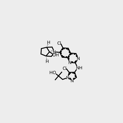 CC(C)(O)Cn1ncc(Nc2ncc3cc(Cl)c(N4C[C@H]5CC[C@@H](C4)[C@@]5(C)O)cc3n2)c1Cl